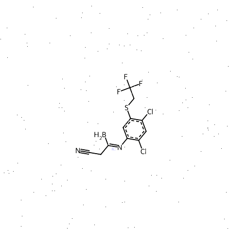 B/C(CC#N)=N\c1cc(SCC(F)(F)F)c(Cl)cc1Cl